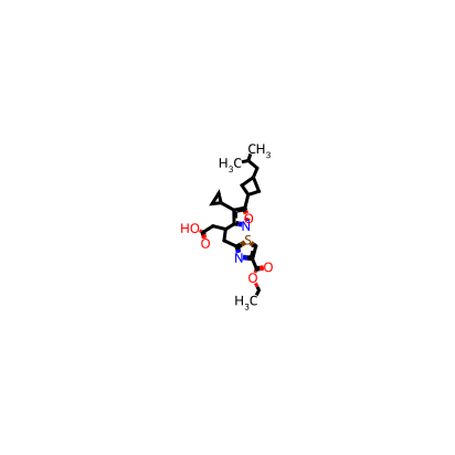 CCOC(=O)c1csc(CC(CC(=O)O)c2noc(C3CC(CC(C)C)C3)c2C2CC2)n1